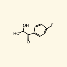 O=C(c1ccc(F)cc1)C(O)O